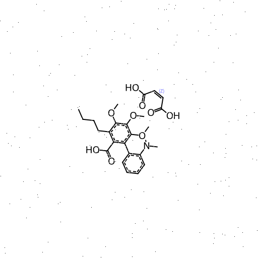 CCCCc1c(OC)c(OC)c(OC)c(-c2ccccc2N(C)C)c1C(=O)O.O=C(O)/C=C\C(=O)O